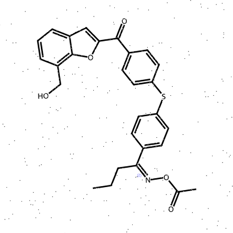 CCC/C(=N/OC(C)=O)c1ccc(Sc2ccc(C(=O)c3cc4cccc(CO)c4o3)cc2)cc1